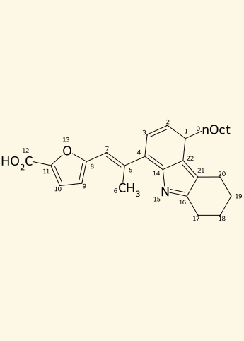 CCCCCCCCC1C=CC(/C(C)=C/c2ccc(C(=O)O)o2)=C2N=C3CCCCC3=C21